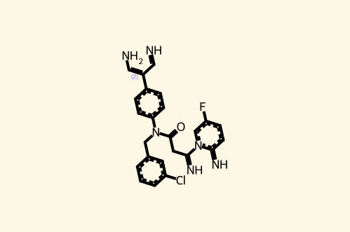 N=C/C(=C\N)c1ccc(N(Cc2cccc(Cl)c2)C(=O)CC(=N)n2cc(F)ccc2=N)cc1